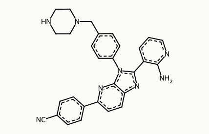 N#Cc1ccc(-c2ccc3nc(-c4cccnc4N)n(-c4ccc(CN5CCNCC5)cc4)c3n2)cc1